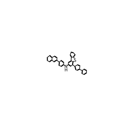 c1ccc(-c2ccc(-c3cc(Nc4ccc(-c5ccc6ccccc6c5)cc4)cc4c3sc3ccccc34)cc2)cc1